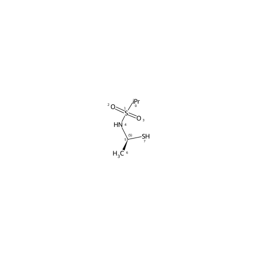 CC(C)S(=O)(=O)N[C@H](C)S